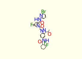 CC(=O)c1nn(CC(=O)N2C[C@H](F)C[C@H]2C(=O)Nc2cccc(Br)n2)c2ccc(NC(=O)C3CCCCC3(F)F)cc12